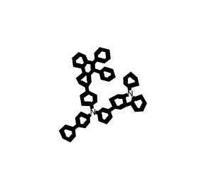 c1ccc(-c2ccc(N(c3ccc(-c4ccc5c(c4)c(-c4ccccc4)c(-c4ccccc4)c4ccccc45)cc3)c3cccc(-c4ccc5c(c4)c4ccccc4n5-c4ccccc4)c3)cc2)cc1